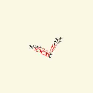 [Li+].[Li+].[O-2].[O-2].[O-2].[O-2].[O-2].[O-2].[O-2].[Zn+2].[Zn+2].[Zr+4].[Zr+4]